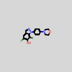 Oc1c(F)cc2cnn(-c3ccc(N4CCOCC4)cc3)c2c1F